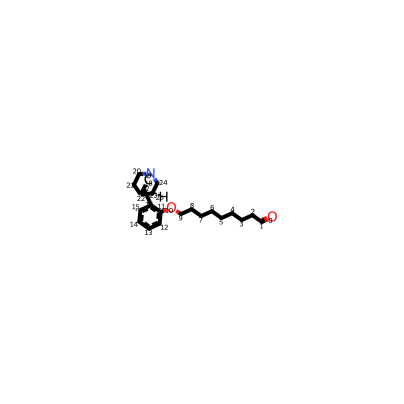 O=CCCCCCCCCOc1ccc[c]c1[C@@H]1CN2CCC1CC2